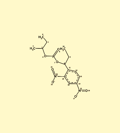 CCC(C)OC(=O)OC(CC)c1ccc([N+](=O)[O-])cc1[N+](=O)[O-]